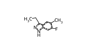 CCc1n[nH]c2cc(F)c(C)cc12